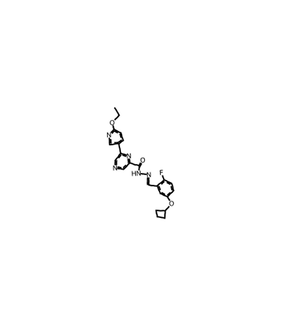 CCOc1ccc(-c2cncc(C(=O)N/N=C/c3cc(OC4CCC4)ccc3F)n2)cn1